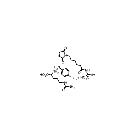 CC(C)C(NC(=O)CCCCCN1C(=O)C=CC1=O)C(=O)O.NC(=O)NCCCC(N)C(=O)O.Nc1ccc(C(=O)O)cc1